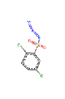 [N-]=[N+]=NS(=O)(=O)c1cc(Cl)ccc1Cl